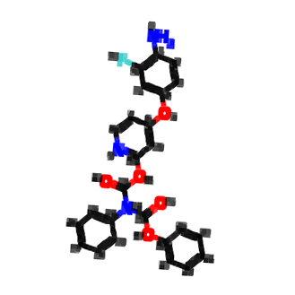 Nc1ccc(Oc2ccnc(OC(=O)N(C(=O)Oc3ccccc3)c3ccccc3)c2)cc1F